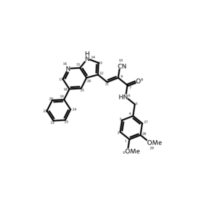 COc1ccc(CNC(=O)/C(C#N)=C/c2c[nH]c3ncc(-c4ccccc4)cc23)cc1OC